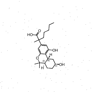 CCCCCC(C)(C(=O)O)c1cc(O)c2c(c1)OC(C)(C)[C@@H]1CC[C@H](O)C[C@@H]21